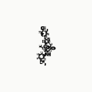 Cc1ccc(-c2nc(CS(=O)(=O)CC(=O)Nc3cccc(C(F)(F)F)c3)c(C)o2)cc1